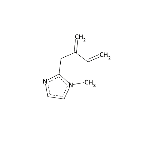 C=CC(=C)Cc1nccn1C